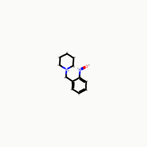 O=Nc1ccccc1CN1CCCCC1